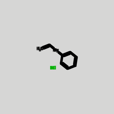 C=[CH][Mg][c]1ccccc1.Cl